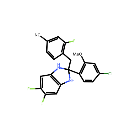 COc1cc(Cl)ccc1C1(Cc2ccc(C#N)cc2F)Nc2cc(F)c(F)cc2N1